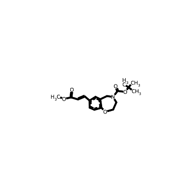 COC(=O)/C=C/c1ccc2c(c1)CN(C(=O)OC(C)(C)C)CCO2